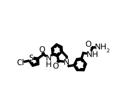 NC(=O)NCc1cccc(CN2Cc3cccc(NC(=O)c4ccc(Cl)s4)c3C2=O)c1